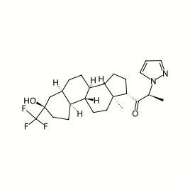 C[C@@H](C(=O)[C@H]1CC[C@H]2[C@@H]3CC[C@@H]4C[C@@](O)(C(F)(F)F)CC[C@@H]4[C@H]3CC[C@]12C)n1cccn1